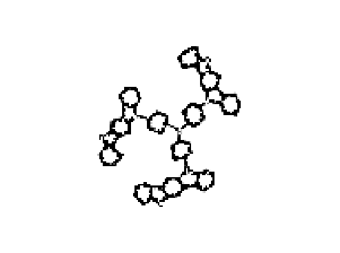 c1ccc2c(c1)oc1cc3c4ccccc4n(-c4ccc(N(c5ccc(-n6c7ccccc7c7cc8oc9ccccc9c8cc76)cc5)c5ccc(-n6c7ccccc7c7cc8oc9ccccc9c8cc76)cc5)cc4)c3cc12